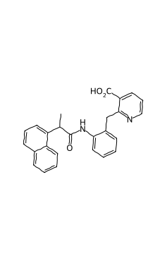 CC(C(=O)Nc1ccccc1Cc1ncccc1C(=O)O)c1cccc2ccccc12